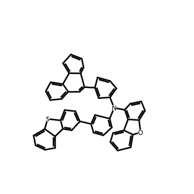 c1cc(-c2ccc3sc4ccccc4c3c2)cc(N(c2cccc(-c3cc4ccccc4c4ccccc34)c2)c2cccc3oc4ccccc4c23)c1